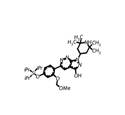 COCOc1cc(O[Si](C(C)C)(C(C)C)C(C)C)ccc1-c1cc2c(O)nn(C3CC(C)(C)NC(C)(C)C3)c2nn1